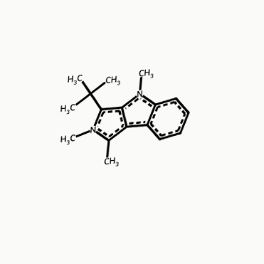 Cc1c2c3ccccc3n(C)c2c(C(C)(C)C)n1C